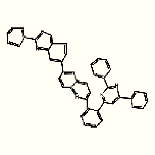 c1ccc(-c2cc(-c3ccccc3-c3ccc4cc(-c5ccc6ccc(-c7ccccc7)nc6c5)ccc4n3)nc(-c3ccccc3)n2)cc1